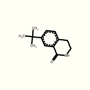 CC(C)(C)c1ccc2c(c1)C(=O)NCC2